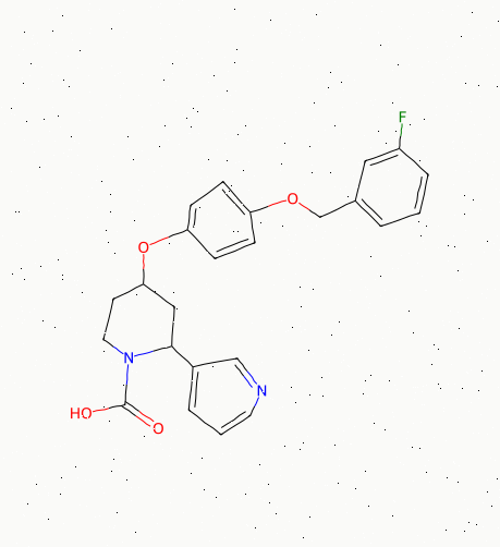 O=C(O)N1CCC(Oc2ccc(OCc3cccc(F)c3)cc2)CC1c1cccnc1